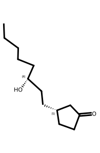 CCCCC[C@@H](O)CC[C@H]1CCC(=O)C1